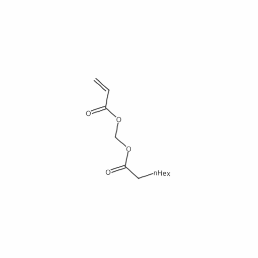 C=CC(=O)OCOC(=O)CCCCCCC